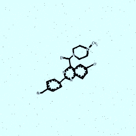 [CH2]CC(c1nc(-c2ccc(Br)cc2)nc2ccc(Cl)cc12)N1CCN(C)CC1